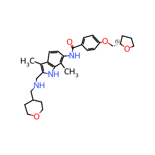 Cc1c(CNCC2CCOCC2)[nH]c2c(C)c(NC(=O)c3ccc(OC[C@@H]4CCCO4)cc3)ccc12